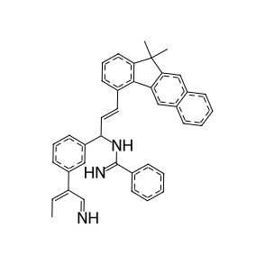 C/C=C(\C=N)c1cccc(C(/C=C/c2cccc3c2-c2cc4ccccc4cc2C3(C)C)NC(=N)c2ccccc2)c1